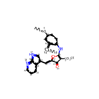 CCOC(=O)C1=C(Nc2ccc(OC)cc2OC)O/C(=C\c2c[nH]c3ncccc23)C1=O